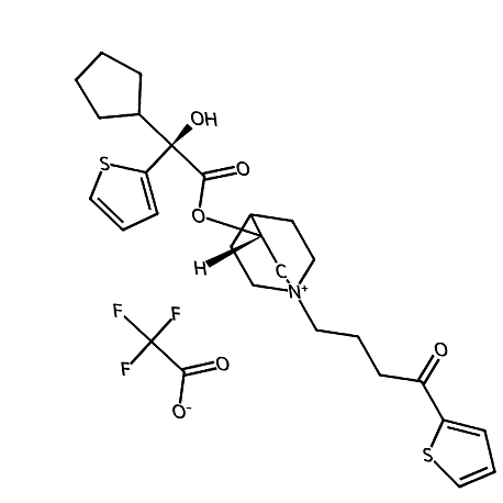 O=C(CCC[N+]12CCC(CC1)[C@@H](OC(=O)[C@](O)(c1cccs1)C1CCCC1)C2)c1cccs1.O=C([O-])C(F)(F)F